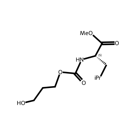 COC(=O)[C@H](CC(C)C)NC(=O)OCCCO